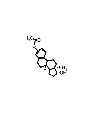 CC(=O)Oc1ccc2c(c1)CC[C@H]1C2CC[C@]2(C)C1CC[C@H]2O